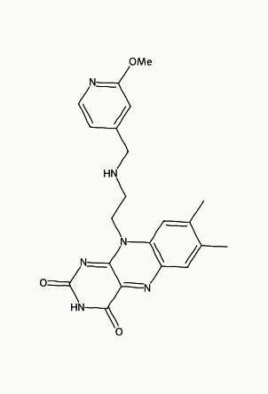 COc1cc(CNCCn2c3nc(=O)[nH]c(=O)c-3nc3cc(C)c(C)cc32)ccn1